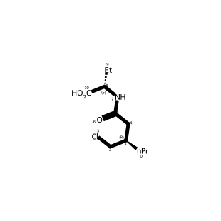 CCC[C@@H](CCl)CC(=O)N[C@@H](CC)C(=O)O